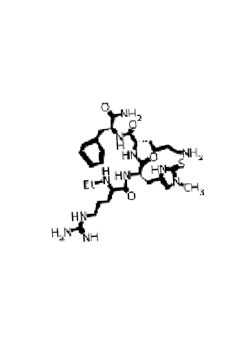 CCNC(CCCNC(=N)N)C(=O)N[C@@H](Cc1cn(C)c(=S)[nH]1)C(=O)N[C@@H](CCCCN)C(=O)N[C@@H](Cc1ccccc1)C(N)=O